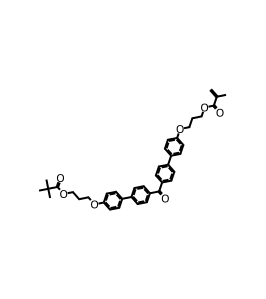 C=C(C)C(=O)OCCCOc1ccc(-c2ccc(C(=O)c3ccc(-c4ccc(OCCCOC(=O)C(C)(C)C)cc4)cc3)cc2)cc1